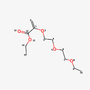 C=C(OCCOCCOCC)C(=O)OCC